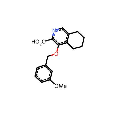 COc1cccc(COc2c(C(=O)O)ncc3c2CCCC3)c1